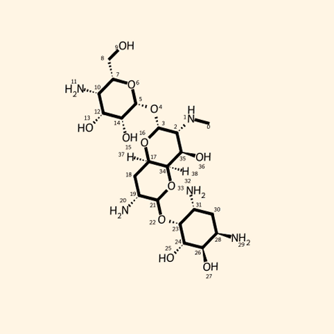 CN[C@H]1[C@@H](O[C@H]2O[C@@H](CO)[C@@H](N)[C@@H](O)[C@H]2O)O[C@@H]2C[C@@H](N)C(O[C@H]3[C@@H](O)[C@H](O)[C@H](N)C[C@H]3N)O[C@@H]2[C@@H]1O